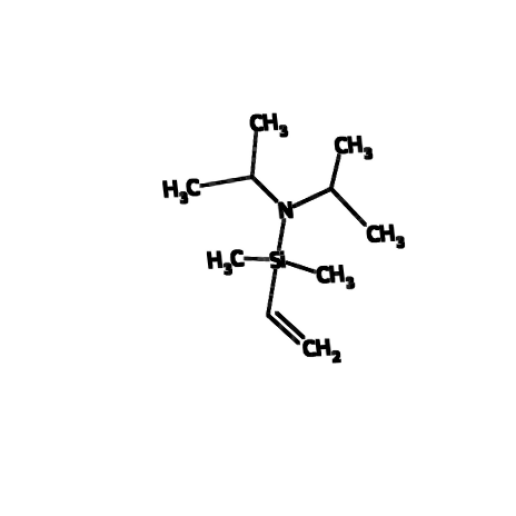 C=C[Si](C)(C)N(C(C)C)C(C)C